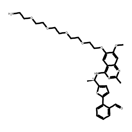 COc1cc2nc(C)nc(N[C@H](C)c3ccc(-c4ccccc4C=O)s3)c2cc1OCCOCCOCCOCCOCCN